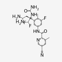 Cc1cc(C#N)cnc1C(=O)Nc1cc(F)c(C)c([C@@](CC(N)N)(NC(N)=O)C(F)F)c1